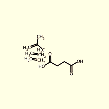 C=C.C=C.C=C(C)C.O=C(O)CCC(=O)O